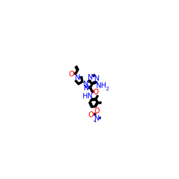 C=CC(=O)N1CC[C@@H](n2nc(C(=O)Nc3ccc(OC(=O)N(C)C)c(C)c3C)c3c(N)ncnc32)C1